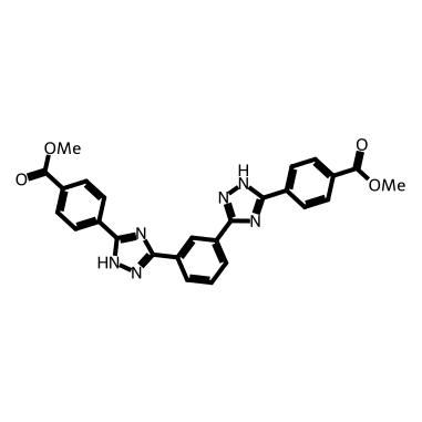 COC(=O)c1ccc(-c2nc(-c3cccc(-c4n[nH]c(-c5ccc(C(=O)OC)cc5)n4)c3)n[nH]2)cc1